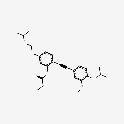 COc1cc(C#Cc2ccc(OCOC(C)C)cc2OC(=O)CI)ccc1OC(C)C